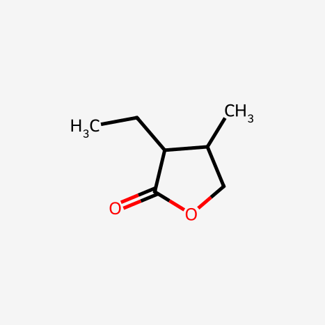 CCC1C(=O)OCC1C